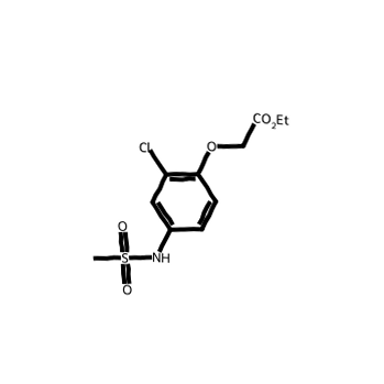 CCOC(=O)COc1ccc(NS(C)(=O)=O)cc1Cl